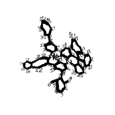 Cc1cccc(C)c1-c1cc(-c2cc3ccccc3cc2Nc2ccc(-c3ccccc3)cc2)c2c(c1)N1c3ccccc3C(c3ccccc3)(c3ccccc3)c3cccc(c31)B2